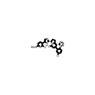 CNc1ccc(-c2cnc([C@@H]3CCc4cc(-c5cc(Cl)ccc5-n5cnnn5)cc(=O)n43)[nH]2)c(Cl)n1